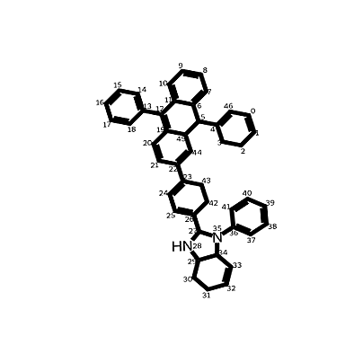 C1=CCCC(C2c3ccccc3C(c3ccccc3)=C3C=CC(C4=CC=C(C5NC6CCC=CC6N5c5ccccc5)CC4)=CC32)=C1